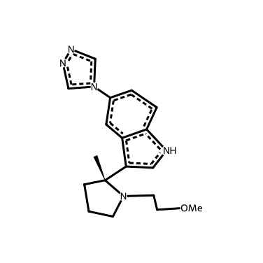 COCCN1CCC[C@]1(C)c1c[nH]c2ccc(-n3cnnc3)cc12